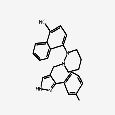 Cc1cccc(-c2n[nH]cc2CN2CCCCN2c2ccc(C#N)c3ccccc23)c1